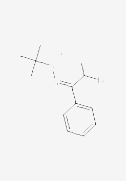 CC(C)(C)[S@+]([O-])N=C(c1ccccc1)C(F)Br